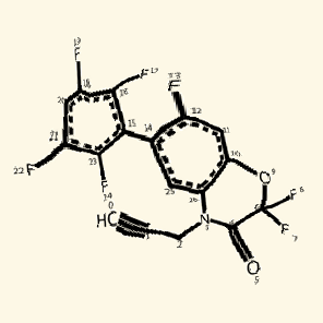 C#CCN1C(=O)C(F)(F)Oc2cc(F)c(-c3c(F)c(F)cc(F)c3F)cc21